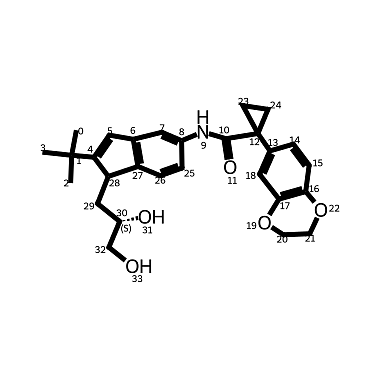 CC(C)(C)C1=Cc2cc(NC(=O)C3(c4ccc5c(c4)OCCO5)CC3)ccc2C1C[C@H](O)CO